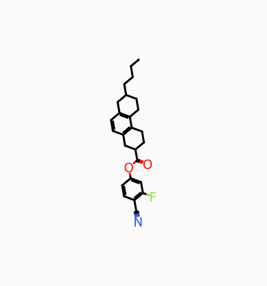 CCCCC1CCc2c(ccc3c2CCC(C(=O)Oc2ccc(C#N)c(F)c2)C3)C1